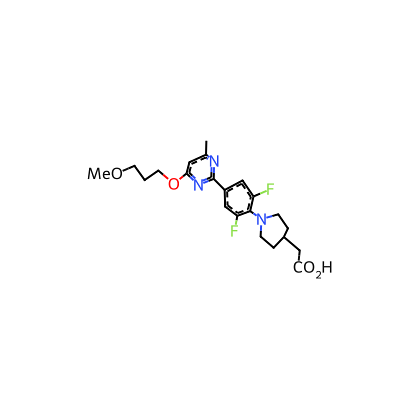 COCCCOc1cc(C)nc(-c2cc(F)c(N3CCC(CC(=O)O)CC3)c(F)c2)n1